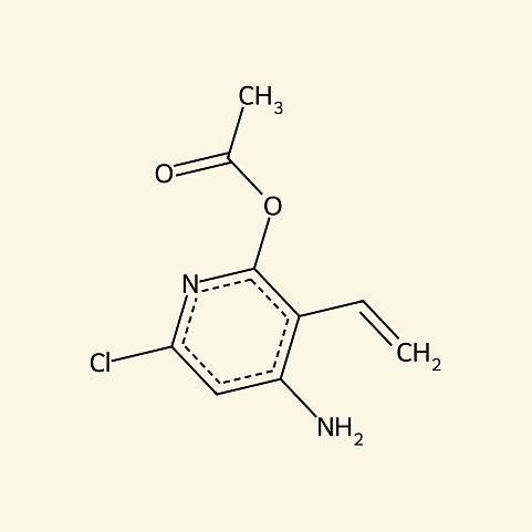 C=Cc1c(N)cc(Cl)nc1OC(C)=O